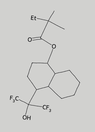 CCC(C)(C)C(=O)OC1CCC(C(O)(C(F)(F)F)C(F)(F)F)C2CCCCC12